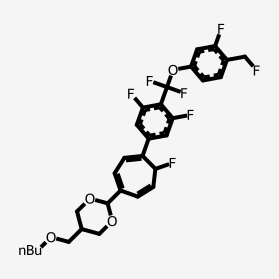 CCCCOCC1COC(C2=CC=C(c3cc(F)c(C(F)(F)Oc4ccc(CF)c(F)c4)c(F)c3)C(F)C=C2)OC1